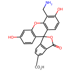 NCc1c(O)ccc2c1Oc1cc(O)ccc1C21OC(=O)c2cc(C(=O)O)ccc21